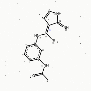 CC(=O)Nc1cccc(N/C(N)=C2\C=CNC2=N)c1